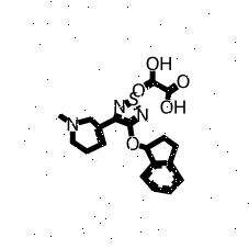 CN1CCC=C(c2nsnc2OC2CCc3ccccc32)C1.O=C(O)C(=O)O